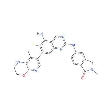 Cc1c(-c2cc3nc(Nc4ccc5c(c4)CN(C)C5=O)ncc3c(N)c2F)cnc2c1NCCO2